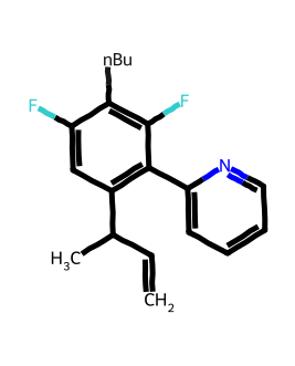 C=CC(C)c1cc(F)c(CCCC)c(F)c1-c1ccccn1